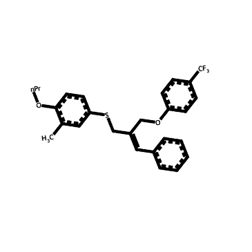 CCCOc1ccc(SCC(=Cc2ccccc2)COc2ccc(C(F)(F)F)cc2)cc1C